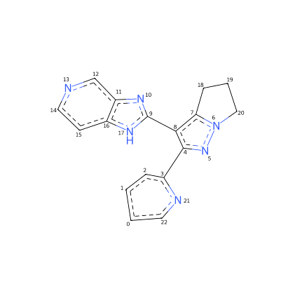 c1ccc(-c2nn3c(c2-c2nc4cnccc4[nH]2)CCC3)nc1